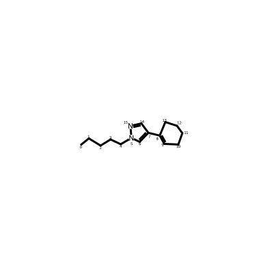 CCCCCn1cc(C2=CCCCC2)cn1